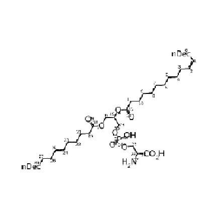 CCCCCCCCCC/C=C\CCCCCCCCCC(=O)O[C@H](COC(=O)CCCCCCCCCCCCCCCCCC)COP(=O)(O)OC[C@H](N)C(=O)O